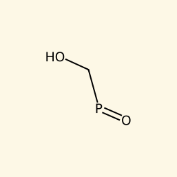 O=PCO